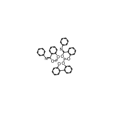 c1ccc(/N=C2/OP(Oc3ccccc3-c3ccccc3OP3O/C(=N/c4ccccc4)c4ccccc4O3)Oc3ccccc32)cc1